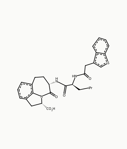 CC(C)C[C@H](NC(=O)Cc1csc2ccccc12)C(=O)N[C@H]1CCc2cccc3c2N(C1=O)[C@H](C(=O)O)C3